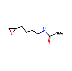 CNC(=O)NCCCCC1CO1